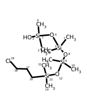 C[Si](C)(O)O[Si](C)(C)O[Si](C)(C)O[Si](C)(C)CCCCl